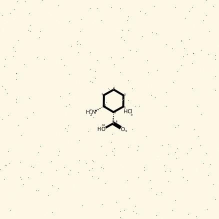 Cl.N[C@@H]1CCCC[C@@H]1C(=O)O